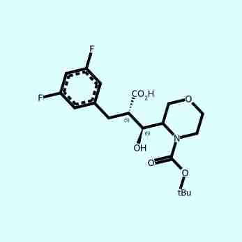 CC(C)(C)OC(=O)N1CCOCC1[C@@H](O)[C@H](Cc1cc(F)cc(F)c1)C(=O)O